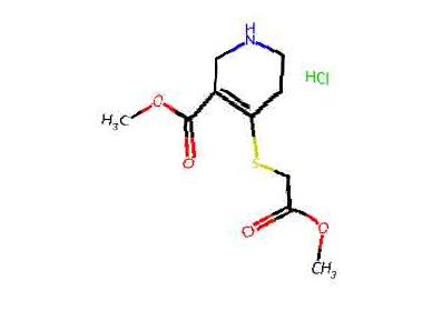 COC(=O)CSC1=C(C(=O)OC)CNCC1.Cl